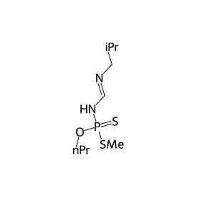 CCCOP(=S)(NC=NCC(C)C)SC